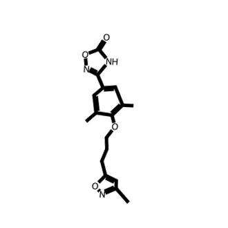 Cc1cc(CCCOc2c(C)cc(-c3noc(=O)[nH]3)cc2C)on1